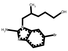 CC(CCCO)Cn1c(N)nc2ccc(Br)cc21